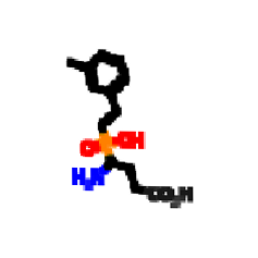 Cc1cccc(CCP(=O)(O)C(N)CCC(=O)O)c1